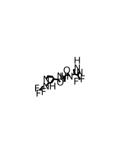 O=C(Nc1c[nH]nc1C(F)F)c1coc(-c2ccnc(NCC(F)(F)F)c2)n1